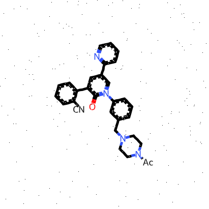 CC(=O)N1CCN(Cc2cccc(-n3cc(-c4ccccn4)cc(-c4ccccc4C#N)c3=O)c2)CC1